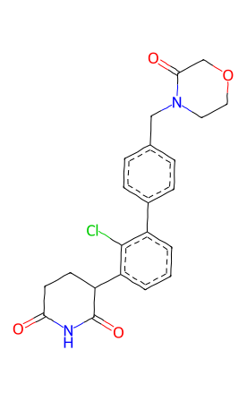 O=C1CCC(c2cccc(-c3ccc(CN4CCOCC4=O)cc3)c2Cl)C(=O)N1